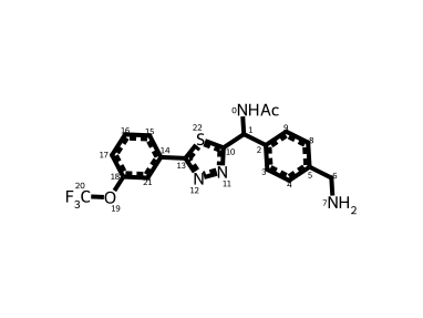 CC(=O)NC(c1ccc(CN)cc1)c1nnc(-c2cccc(OC(F)(F)F)c2)s1